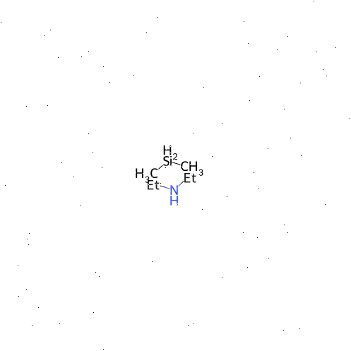 CCNCC.C[SiH2]C